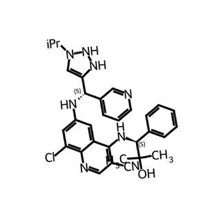 CC(C)N1C=C([C@@H](Nc2cc(Cl)c3ncc(C#N)c(N[C@@H](c4ccccc4)C(C)(C)O)c3c2)c2cccnc2)NN1